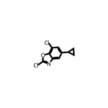 Clc1nc2cc(C3CC3)cc(Cl)c2o1